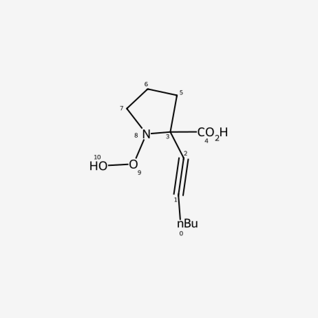 CCCCC#CC1(C(=O)O)CCCN1OO